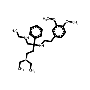 CCNCC(CCN(CC)CC)(NCCc1ccc(OC)c(OC)c1)c1ccccc1